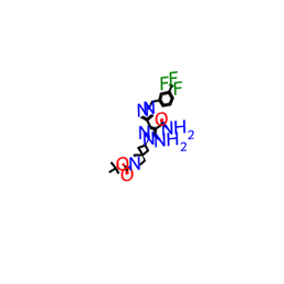 CC(C)(C)OC(=O)N1CC[C@]2(C1)C[C@H](n1nc(-c3cnn(Cc4cccc(C(F)(F)F)c4)c3)c(C(N)=O)c1N)C2